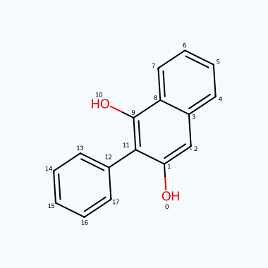 Oc1[c]c2ccccc2c(O)c1-c1ccccc1